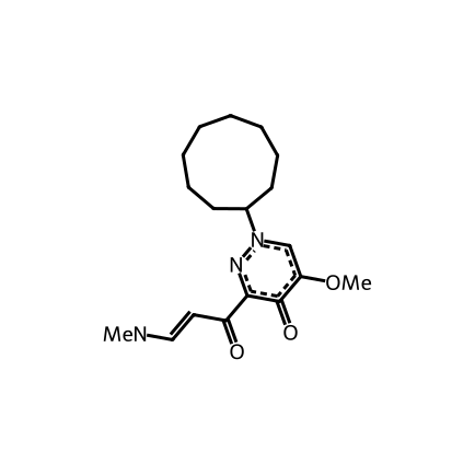 CN/C=C/C(=O)c1nn(C2CCCCCCCC2)cc(OC)c1=O